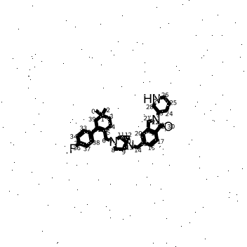 CC1(C)CCC(CN2CC3CC2CN3Cc2ccc3c(c2)CN(C2CCCNC2)C3=O)=C(c2ccc(F)cc2)C1